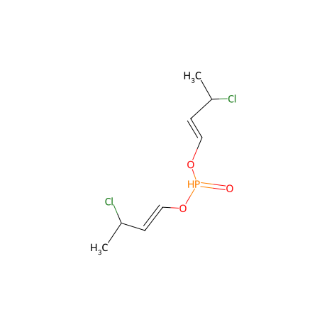 CC(Cl)C=CO[PH](=O)OC=CC(C)Cl